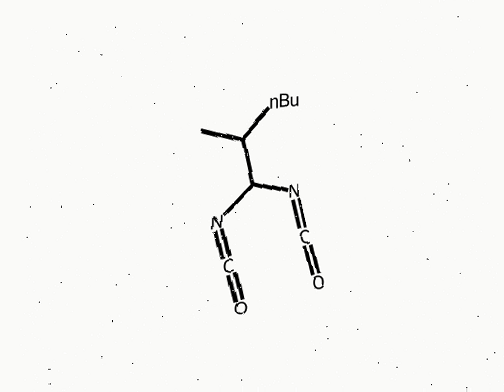 CCCCC(C)C(N=C=O)N=C=O